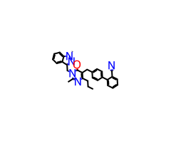 CCCc1nc(C)n(Cc2nn(C)c3ccccc23)c(=O)c1Cc1ccc(-c2ccccc2C#N)cc1